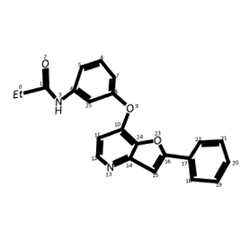 CCC(=O)Nc1cccc(Oc2ccnc3cc(-c4ccccc4)oc23)c1